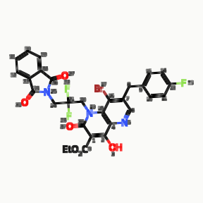 CCOC(=O)c1c(O)c2ncc(Cc3ccc(F)cc3)c(Br)c2n(CC(F)(F)CN2C(=O)c3ccccc3C2=O)c1=O